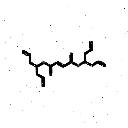 C=CCC(CC=C)OC(=O)C=CC(=O)OC(CC=C)CC=C